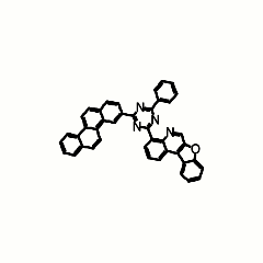 c1ccc(-c2nc(-c3ccc4ccc5c6ccccc6ccc5c4c3)nc(-c3cccc4c3ncc3oc5ccccc5c34)n2)cc1